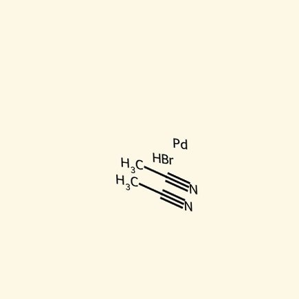 Br.CC#N.CC#N.[Pd]